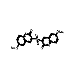 COc1ccc2sc(=O)c(S(=O)(=O)c3cc4cc(OC)ccc4sc3=O)cc2c1